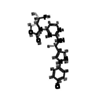 C[C@H](Nc1nccc(N2C(=O)OC[C@@H]2[C@H](C)F)n1)c1cnn(-c2ccc(Cl)cc2)c1